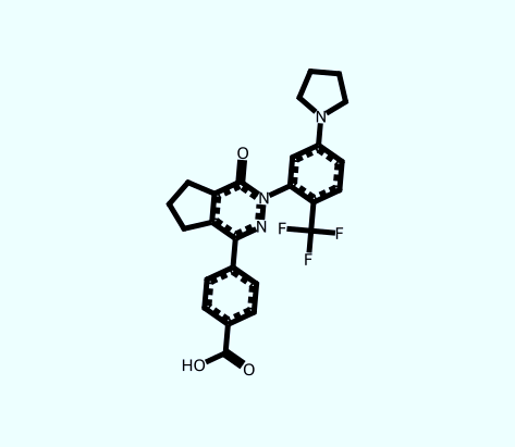 O=C(O)c1ccc(-c2nn(-c3cc(N4CCCC4)ccc3C(F)(F)F)c(=O)c3c2CCC3)cc1